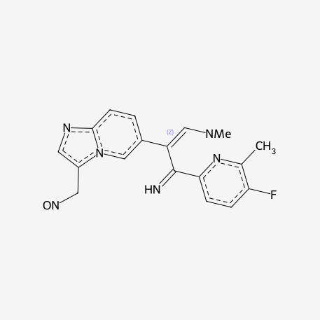 CN/C=C(\C(=N)c1ccc(F)c(C)n1)c1ccc2ncc(CN=O)n2c1